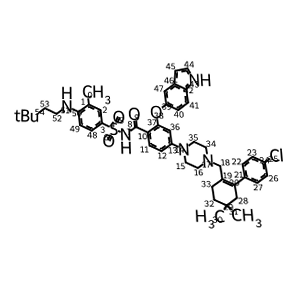 Cc1cc(S(=O)(=O)NC(=O)c2ccc(N3CCN(CC4=C(c5ccc(Cl)cc5)CC(C)(C)CC4)CC3)cc2Oc2ccc3[nH]ccc3c2)ccc1NCCC(C)(C)C